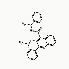 CC(NC(=O)c1c(C[S+](C)[O-])c(-c2ccccc2)nc2ccccc12)c1ccccc1